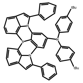 CC(C)(C)c1ccc(N(c2ccc(C(C)(C)C)cc2)c2cc3c4c(c2)-n2c(-c5ccccc5)cc5cccc(c52)B4c2cccc4cc(-c5ccccc5)n-3c24)cc1